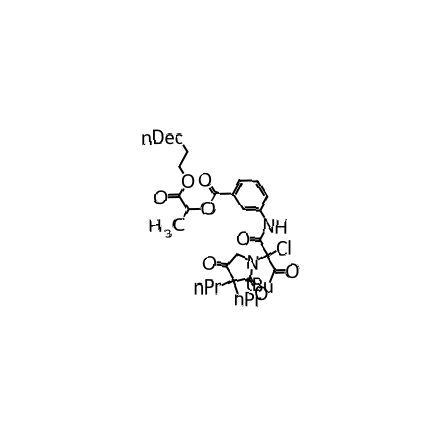 CCCCCCCCCCCCOC(=O)C(C)OC(=O)c1cccc(NC(=O)C(Cl)(C(=O)C(C)(C)C)N2CC(=O)C(CCC)(CCC)C2=O)c1